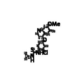 COc1cc2nccc(Oc3ccc(NC(=S)NC4CC4)c(Cl)c3)c2cc1C